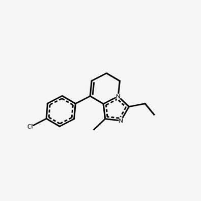 CCc1nc(C)c2n1CCC=C2c1ccc(Cl)cc1